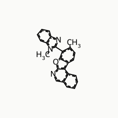 Cc1ccc2c(oc3ncc4ccccc4c32)c1-c1nc2ccccc2n1C